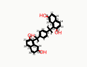 CC(C)(c1ccc(C(C)(C)c2c(O)ccc3ccc(O)cc23)cc1)c1c(O)ccc2ccc(O)cc12